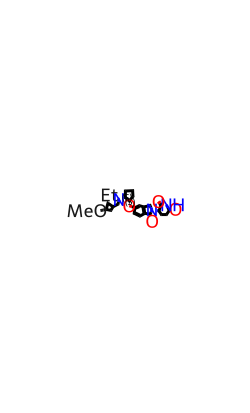 CCN(CC1CC(OC)C1)[C@H]1CCC[C@@H]1Oc1ccc2c(c1)CN(C1CCC(=O)NC1=O)C2=O